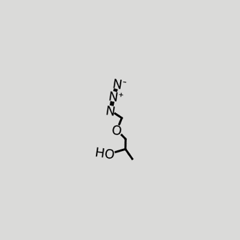 CC(O)COCN=[N+]=[N-]